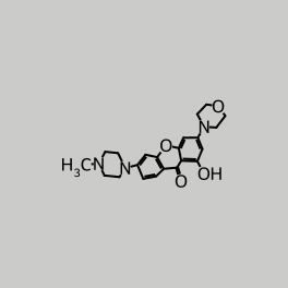 CN1CCN(c2ccc3c(=O)c4c(O)cc(N5CCOCC5)cc4oc3c2)CC1